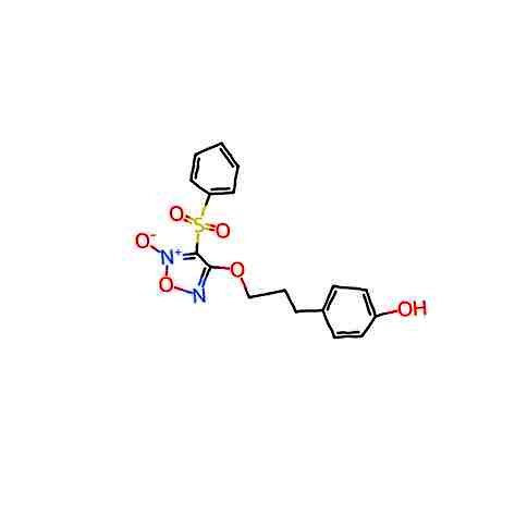 O=S(=O)(c1ccccc1)c1c(OCCCc2ccc(O)cc2)no[n+]1[O-]